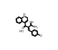 Cl.N=C(N)/C(=C\c1ccc(Cl)cc1)C(=O)C1=CCNc2ccccc21